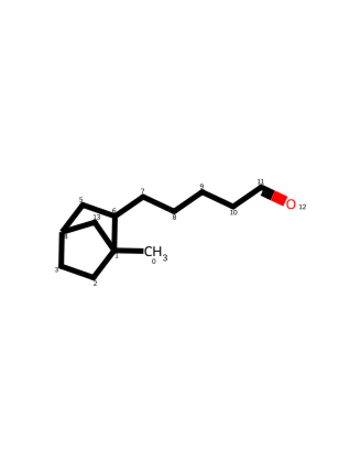 CC12CCC(CC1CCCCC=O)C2